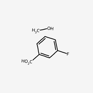 CO.O=C(O)c1cccc(F)c1